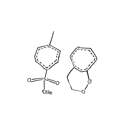 COS(=O)(=O)c1ccc(C)cc1.c1ccc2c(c1)CCOO2